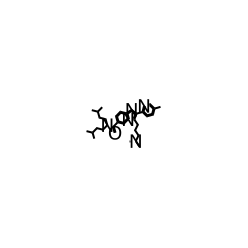 Cc1ccc(-c2nc3ccc(C(=O)N(CCC(C)C)CCC(C)C)cn3c2CCCN(C)C)nc1